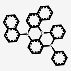 c1ccc(N2c3ccccc3B3c4c2cccc4N(c2cccc4ccccc24)c2ccc4ccccc4c23)cc1